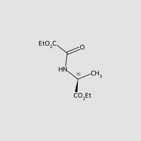 CCOC(=O)C(=O)N[C@@H](C)C(=O)OCC